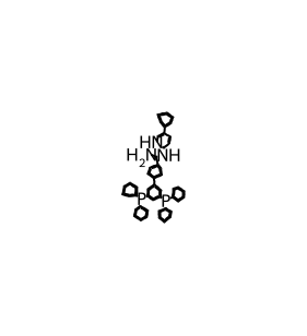 NC(NC1C=CC(c2ccccc2)=CN1)c1ccc(-c2cc(P(c3ccccc3)c3ccccc3)cc(P(c3ccccc3)c3ccccc3)c2)cc1